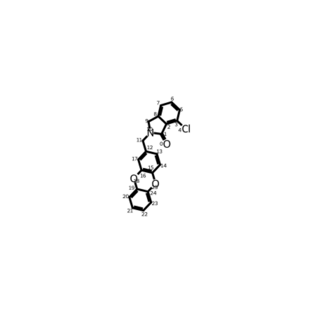 O=C1c2c(Cl)cccc2CN1Cc1ccc2c(c1)Oc1ccccc1O2